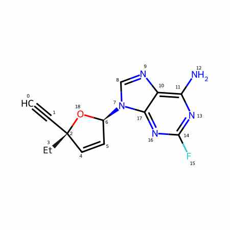 C#C[C@@]1(CC)C=C[C@H](n2cnc3c(N)nc(F)nc32)O1